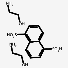 NCCO.NCCO.O=S(=O)(O)c1cccc2c(S(=O)(=O)O)cccc12